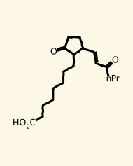 CCCC(=O)C=CC1CCC(=O)C1CCCCCCCC(=O)O